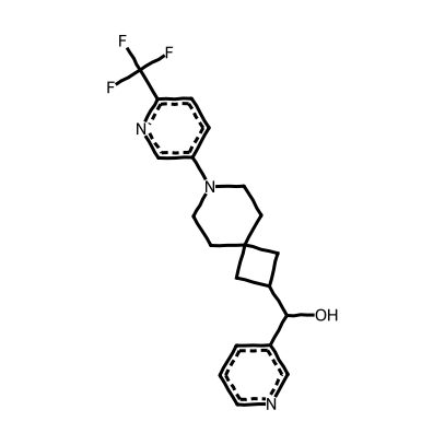 OC(c1cccnc1)C1CC2(CCN(c3ccc(C(F)(F)F)nc3)CC2)C1